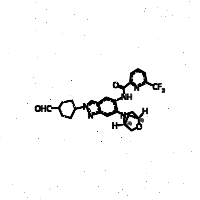 O=CC1CCC(n2cc3cc(NC(=O)c4cccc(C(F)(F)F)n4)c(N4C[C@H]5C[C@@H]4CO5)cc3n2)CC1